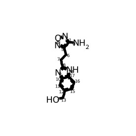 Nc1nonc1CCc1nc2cc(CO)ccc2[nH]1